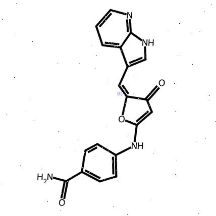 NC(=O)c1ccc(NC2=CC(=O)/C(=C\c3c[nH]c4ncccc34)O2)cc1